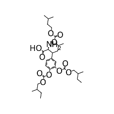 CCC(C)COC(=O)Oc1ccc(C(CC(C)OC(=O)OCCC(C)C)[C@H](N)C(=O)O)cc1OC(=O)OCC(C)CC